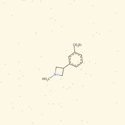 CCOC(=O)c1cccc(C2CN(C(=O)O)C2)c1